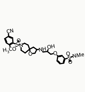 CNS(=O)(=O)c1cccc(OCC(O)CNC2COC3(CCN(S(=O)(=O)c4cc(C#N)ccc4C)CC3)C2)c1